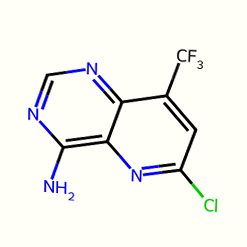 Nc1ncnc2c(C(F)(F)F)cc(Cl)nc12